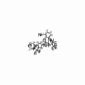 N#Cc1cccc(-n2nc(C(F)(F)F)cc2C(=O)Nc2ccc(N3CCOCC3)c(C(F)(F)F)c2)c1